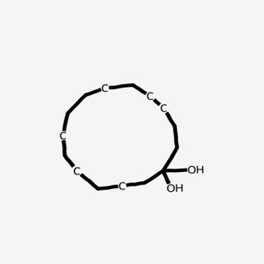 OC1(O)CCCCCCCCCCCCCC1